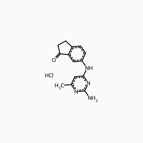 Cc1cc(Nc2ccc3c(c2)C(=O)CC3)nc(N)n1.Cl